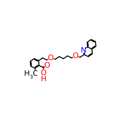 Cc1cccc(CCOCCCCCOCc2ccc3ccccc3n2)c1C(=O)O